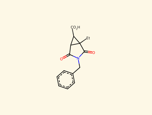 CCC12C(=O)N(Cc3ccccc3)C(=O)C1C2C(=O)O